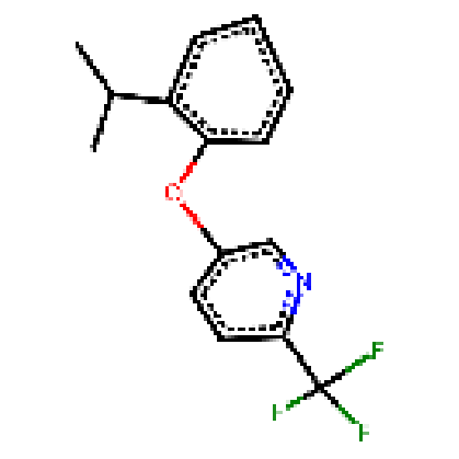 CC(C)c1ccccc1Oc1ccc(C(F)(F)F)nc1